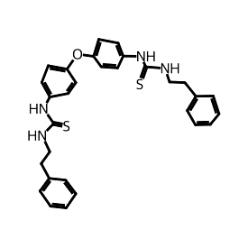 S=C(NCCc1ccccc1)Nc1ccc(Oc2ccc(NC(=S)NCCc3ccccc3)cc2)cc1